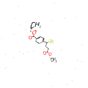 CCOC(=O)CCC(S)c1ccc(C(=O)OCC)cc1